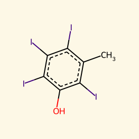 Cc1c(I)c(O)c(I)c(I)c1I